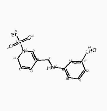 CCS(=O)(=O)N1C=C(CNc2cccc(C=O)c2)C=CC1